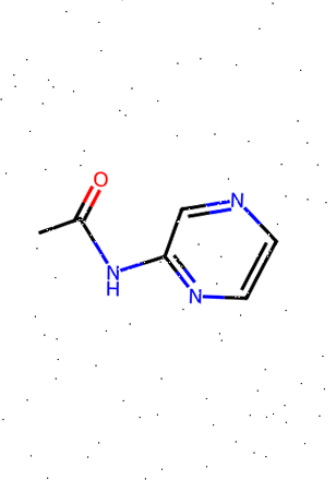 CC(=O)Nc1cnccn1